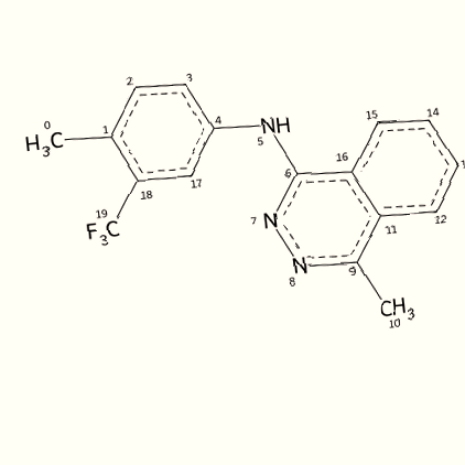 Cc1ccc(Nc2nnc(C)c3ccccc23)cc1C(F)(F)F